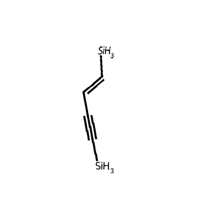 [SiH3]C#C/C=C/[SiH3]